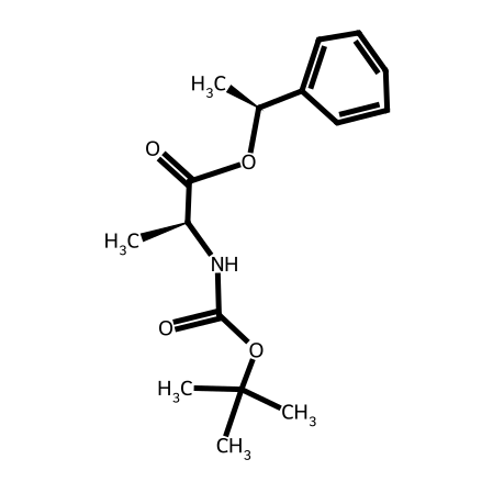 C[C@H](NC(=O)OC(C)(C)C)C(=O)O[C@@H](C)c1ccccc1